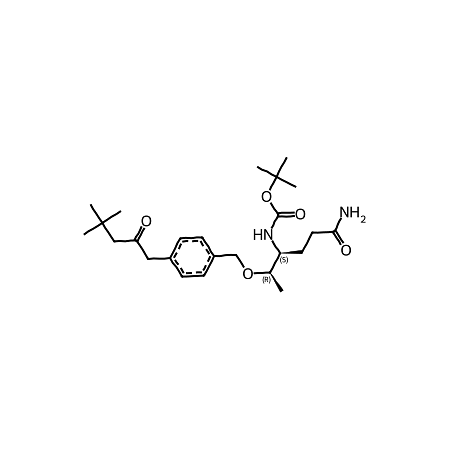 C[C@@H](OCc1ccc(CC(=O)CC(C)(C)C)cc1)[C@H](CCC(N)=O)NC(=O)OC(C)(C)C